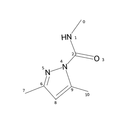 CNC(=O)n1nc(C)cc1C